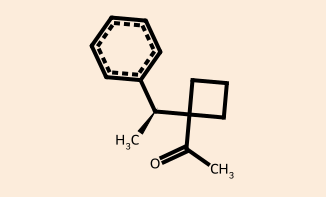 CC(=O)C1([C@@H](C)c2ccccc2)CCC1